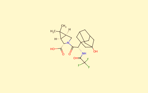 CC1(C)[C@@H]2[C@@H](C(=O)O)N(C(=O)[C@@H](NC(=O)C(F)(F)F)C34CC5CC(CC(O)(C5)C3)C4)C[C@@H]21